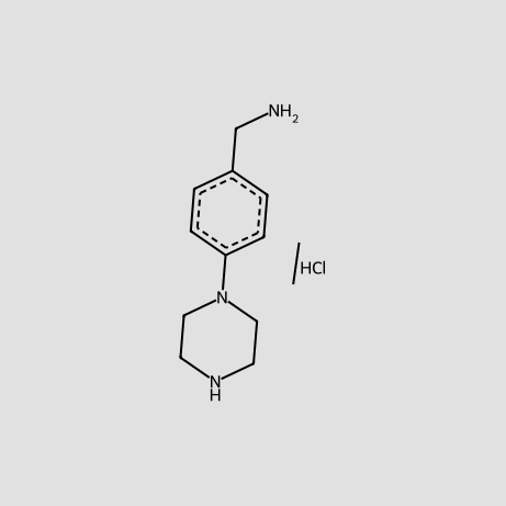 CC.Cl.NCc1ccc(N2CCNCC2)cc1